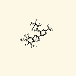 Cn1c(N)c(NC(=O)c2ccc([N+](=O)[O-])cc2NC(=O)C(F)(F)F)c(=O)n(C)c1=O